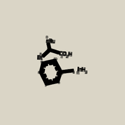 CCCCC(CC)C(=O)O.Cc1ccccc1.[InH3]